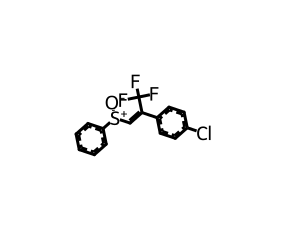 [O-][S+](C=C(c1ccc(Cl)cc1)C(F)(F)F)c1ccccc1